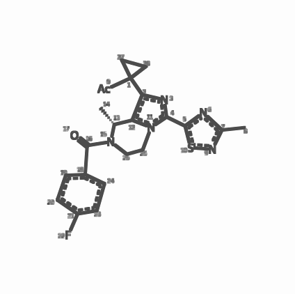 CC(=O)C1(c2nc(-c3nc(C)ns3)n3c2[C@@H](C)N(C(=O)c2ccc(F)cc2)CC3)CC1